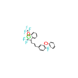 Fc1ccc(/C=C/C=C(\c2ccccc2OC(F)(F)F)C(F)(F)Cl)cc1Oc1ccccc1